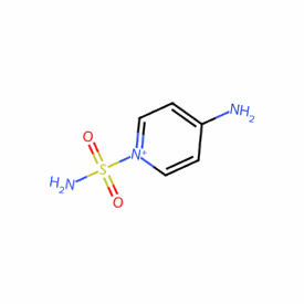 Nc1cc[n+](S(N)(=O)=O)cc1